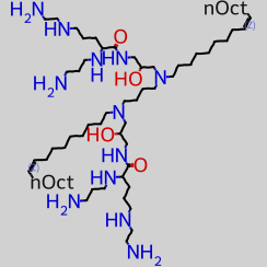 CCCCCCCC/C=C\CCCCCCCCN(CCCCN(CCCCCCCC/C=C\CCCCCCCC)CC(O)CNC(=O)C(CCCNCCN)NCCCN)CC(O)CNC(=O)C(CCCNCCN)NCCCN